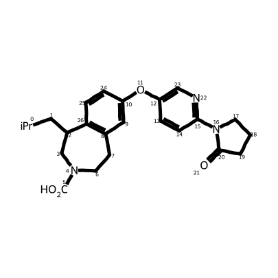 CC(C)CC1CN(C(=O)O)CCc2cc(Oc3ccc(N4CCCC4=O)nc3)ccc21